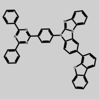 c1ccc(-c2nc(-c3ccccc3)nc(-c3ccc(-n4c5ccc(-c6cccc7c6oc6ccccc67)cc5n5c6ccccc6nc45)cc3)n2)cc1